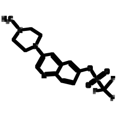 CN1CCN(c2cnc3ccc(OS(=O)(=O)C(F)(F)F)cc3c2)CC1